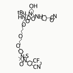 CC(C)(C)[C@H](NC(=O)COCCCCOCCCOc1ccc(N2C(=S)N(c3ccc(C#N)c(C(F)(F)F)c3)C(=O)C2(C)C)cc1)C(=O)N1C[C@H](O)C[C@H]1C(=O)NCc1ccc(-c2cnco2)cc1